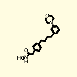 O=C(Cc1ccc(CCCCc2cccc(N3CCOCC3)c2)cc1)NO